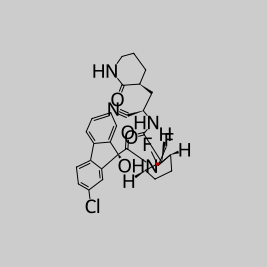 N#C[C@@H](C[C@@H]1CCCNC1=O)NC(=O)[C@@H]1[C@@H]2CC[C@@H](CC2(F)F)N1C(=O)[C@@]1(O)c2ccccc2-c2ccc(Cl)cc21